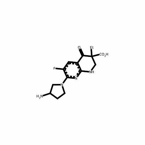 CCC1(C(=O)O)CNc2nc(N3CCC(N)C3)c(F)cc2C1=O